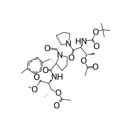 COC(=O)[C@@H](NC(=O)[C@]1(Cc2ccc(C)cc2)CCCN1C(=O)[C@@H]1CCCN1C(=O)[C@@H](NC(=O)OC(C)(C)C)[C@@H](C)OC(C)=O)[C@@H](C)OC(C)=O